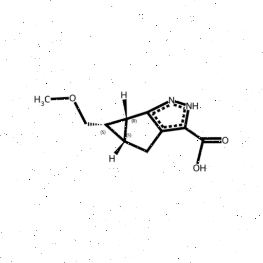 COC[C@H]1[C@H]2Cc3c(n[nH]c3C(=O)O)[C@H]21